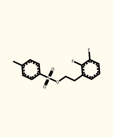 Cc1ccc(S(=O)(=O)OCCc2cccc(F)c2F)cc1